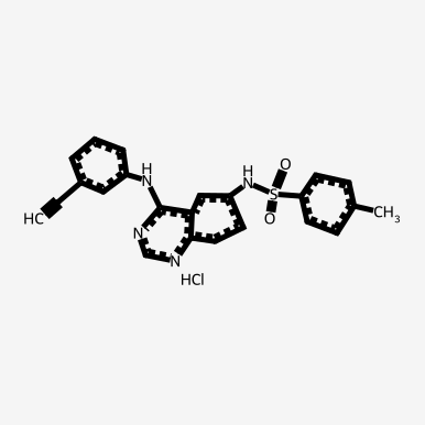 C#Cc1cccc(Nc2ncnc3ccc(NS(=O)(=O)c4ccc(C)cc4)cc23)c1.Cl